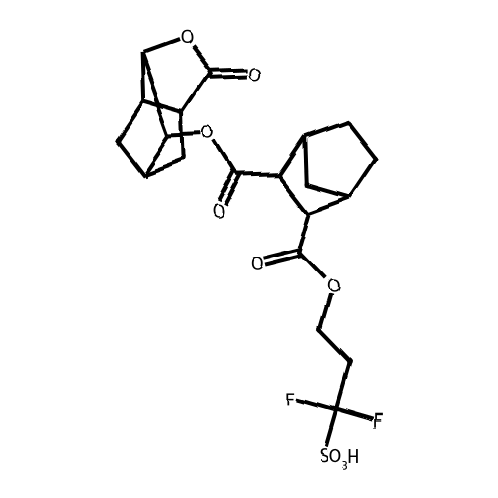 O=C1OC2C3CC(CC13)C2OC(=O)C1C2CCC(C2)C1C(=O)OCCC(F)(F)S(=O)(=O)O